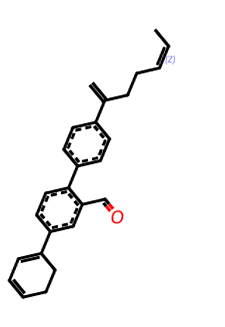 C=C(CC/C=C\C)c1ccc(-c2ccc(C3=CC=CCC3)cc2C=O)cc1